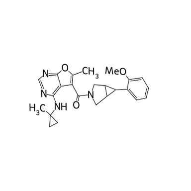 COc1ccccc1C1C2CN(C(=O)c3c(C)oc4ncnc(NC5(C)CC5)c34)CC21